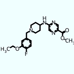 CCOc1cc(CN2CCC(Nc3cnc(C(=O)OC)cn3)CC2)ccc1F